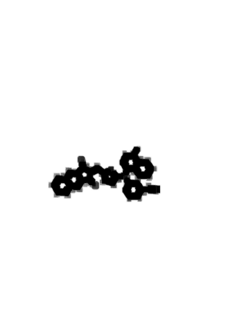 Cc1ccc(N(c2cccc(C#N)c2)c2ccc(C=C3C(=O)c4cc5ccccc5cc4C3=O)s2)c2ccccc12